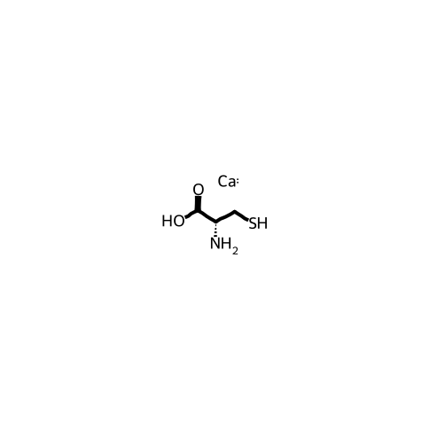 N[C@@H](CS)C(=O)O.[Ca]